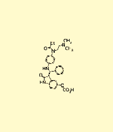 CCC(=O)N(CCN(C)C)c1ccc(N/C(=C2\C(=O)Nc3ccc(OC(=O)O)cc32)c2ccccc2)cc1